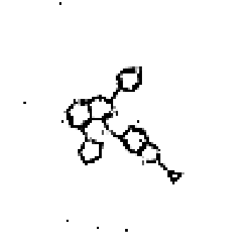 c1cc(-c2cc3nccc(N4CCCC4)c3c(Nc3ccc4nc(C5CC5)sc4c3)n2)ccn1